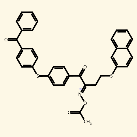 CC(=O)O/N=C(\CCSc1ccc2ccccc2c1)C(=O)c1ccc(Sc2ccc(C(=O)c3ccccc3)cc2)cc1